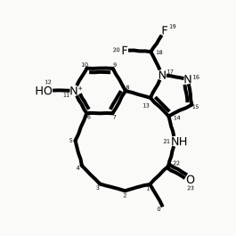 CC1CCCCc2cc(cc[n+]2O)-c2c(cnn2C(F)F)NC1=O